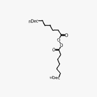 CCCCCCCCCCCCCCCC(=O)OOC(=O)CCCCCCCCCCCCCCC